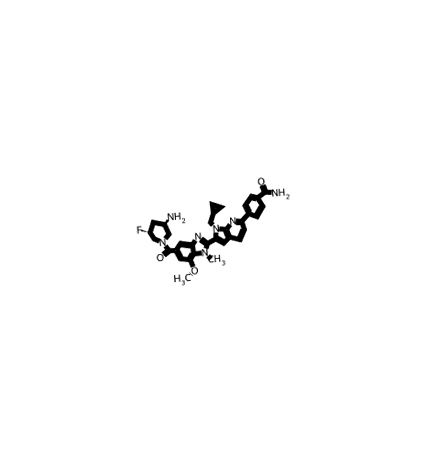 COc1cc(C(=O)N2C[C@H](N)C[C@@H](F)C2)cc2nc(-c3cc4ccc(-c5ccc(C(N)=O)cc5)nc4n3CC3CC3)n(C)c12